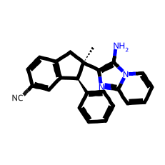 C[C@@]1(c2nc3ccccn3c2N)Cc2ccc(C#N)cc2[C@@H]1c1ccccc1